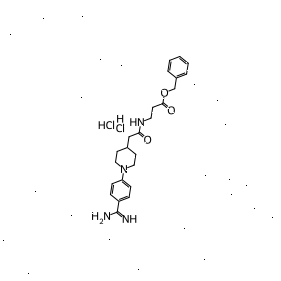 Cl.Cl.N=C(N)c1ccc(N2CCC(CC(=O)NCCC(=O)OCc3ccccc3)CC2)cc1